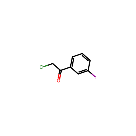 O=C(CCl)c1cccc(I)c1